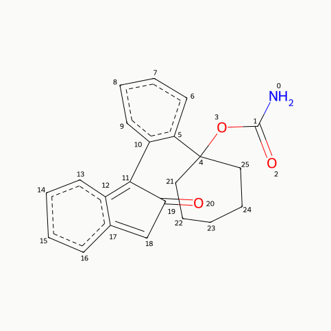 NC(=O)OC1(c2ccccc2C2=c3ccccc3=CC2=O)CCCCC1